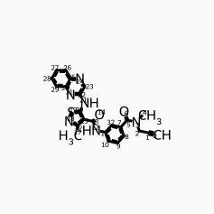 C#CCN(C)C(=O)c1cccc(NC(=O)c2c(C)nsc2Nc2cnc3ccccc3n2)c1